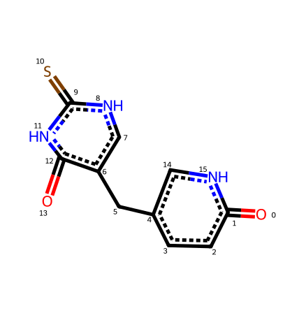 O=c1ccc(Cc2c[nH]c(=S)[nH]c2=O)c[nH]1